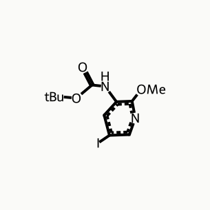 COc1ncc(I)cc1NC(=O)OC(C)(C)C